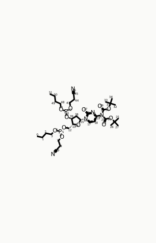 CCCCOP(OCCC#N)OC[C@H]1O[C@@H](n2ccc(N(C(=O)OC(C)(C)C)C(=O)OC(C)(C)C)nc2=O)C[C@@H]1OP(OCCC#N)OCCCC